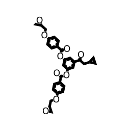 O=C(CC1CC1)c1cc(OC(=O)c2ccc(OCC3CO3)cc2)cc(OC(=O)c2ccc(OCC3CO3)cc2)c1